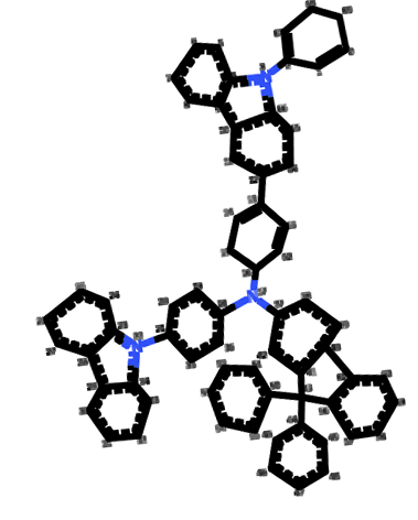 C1=CC(n2c3ccccc3c3cc(C4=CCC(N(c5ccc(-n6c7ccccc7c7ccccc76)cc5)c5ccc6c(c5)C(c5ccccc5)(c5ccccc5)c5ccccc5-6)C=C4)ccc32)=CCC1